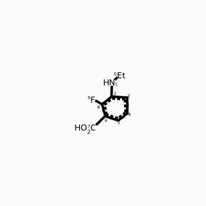 CCNc1cccc(C(=O)O)c1F